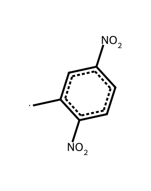 [CH2]c1cc([N+](=O)[O-])ccc1[N+](=O)[O-]